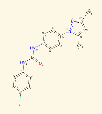 O=C(Nc1ccc(F)cc1)Nc1ccc(-n2nc(C(F)(F)F)cc2C(F)(F)F)cc1